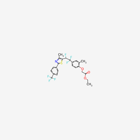 CCOC(=O)COc1ccc(C(F)(F)C(F)c2sc(-c3ccc(C(F)(F)F)cc3)nc2C)cc1C